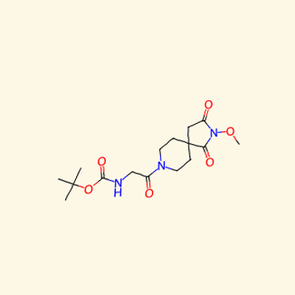 CON1C(=O)CC2(CCN(C(=O)CNC(=O)OC(C)(C)C)CC2)C1=O